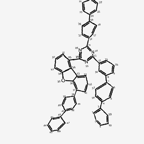 c1ccc(-c2ccc(-c3cccc(-c4nc(-c5ccc(-c6ccccc6)cc5)nc(-c5cccc6oc7c(-c8ccc(-c9ccccc9)cc8)cccc7c56)n4)c3)cc2)cc1